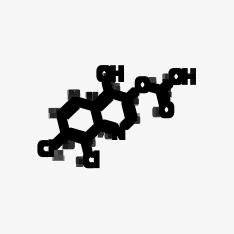 O=C(O)Oc1cnc2c(Cl)c(Cl)ccc2c1O